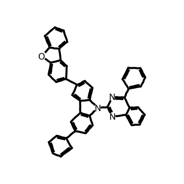 c1ccc(-c2ccc3c(c2)c2cc(-c4ccc5oc6ccccc6c5c4)ccc2n3-c2nc(-c3ccccc3)c3ccccc3n2)cc1